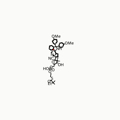 CCC(C)(C)C(=O)SCCOP(=O)(O)OC[C@H]1O[C@@](C#N)(c2ccc3c(NC(c4ccccc4)(c4ccc(OC)cc4)c4ccc(OC)cc4)ncnn23)[C@](C)(F)[C@@H]1O